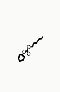 CC=CC=CCOC(=O)Oc1ccccc1